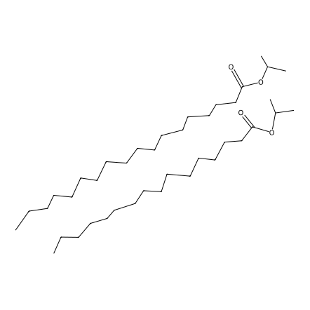 CCCCCCCCCCCCCCCC(=O)OC(C)C.CCCCCCCCCCCCCCCCCC(=O)OC(C)C